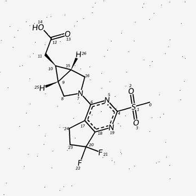 CS(=O)(=O)c1nc(N2C[C@@H]3[C@@H](CC(=O)O)[C@@H]3C2)c2c(n1)C(F)(F)CC2